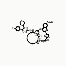 COc1ccc2c(O[C@@H]3C[C@H]4C(=O)N[C@]5(C(=O)O)CC5/C=C\CCCCC[C@H](NC(=O)N[C@H](C(=O)c5ccc(F)cc5)C5CCCCC5)C(=O)N4C3)cc(-c3csc(NC(C)C)n3)nc2c1